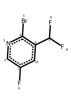 Fc1cnc(Br)c(C(F)F)c1